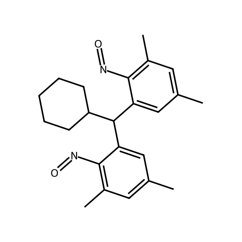 Cc1cc(C)c(N=O)c(C(c2cc(C)cc(C)c2N=O)C2CCCCC2)c1